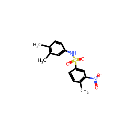 Cc1ccc(NS(=O)(=O)c2ccc(C)c([N+](=O)[O-])c2)cc1C